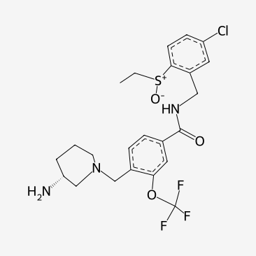 CC[S+]([O-])c1ccc(Cl)cc1CNC(=O)c1ccc(CN2CCC[C@@H](N)C2)c(OC(F)(F)F)c1